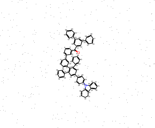 O=C(c1cccc(-c2cccc(-c3c(-c4ccccc4)cc(-c4ccc(-n5c6c(c7ccccc75)CCC=C6)cc4)cc3-c3ccccc3)c2)c1)c1cc(-c2ccccc2)cc(-c2ccccc2)c1